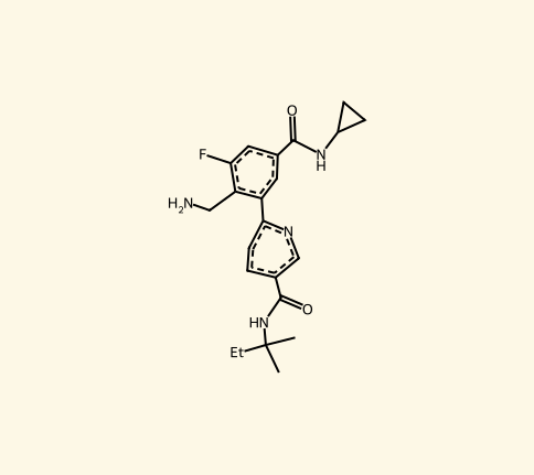 CCC(C)(C)NC(=O)c1ccc(-c2cc(C(=O)NC3CC3)cc(F)c2CN)nc1